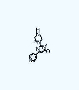 C[C@@H]1CNCCN1c1nc(-c2ccncc2)cc(=O)n1C